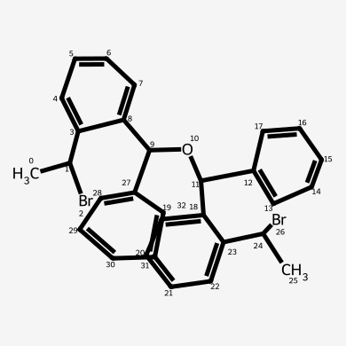 CC(Br)c1ccccc1C(OC(c1ccccc1)c1ccccc1C(C)Br)c1ccccc1